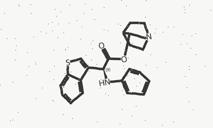 O=C(OC1CN2CCC1CC2)[C@@H](Nc1ccccc1)c1csc2ccccc12